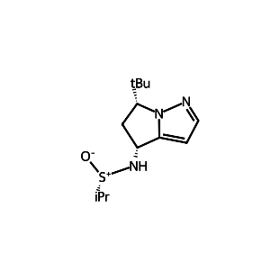 CC(C)[S@+]([O-])N[C@@H]1C[C@H](C(C)(C)C)n2nccc21